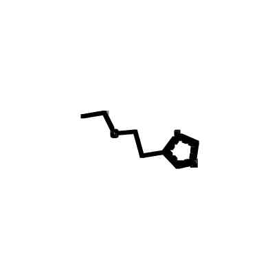 C[CH]OCCc1cncs1